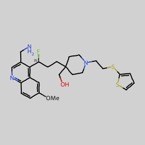 COc1ccc2ncc(CN)c([C@@H](F)CCC3(CO)CCN(CCSc4cccs4)CC3)c2c1